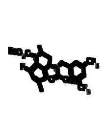 CCOC(=O)N1c2c(F)cc(C)cc2C(N(Cc2cc(C(F)(F)F)cc(C(F)(F)F)c2)C(=O)OC)CC1C